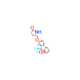 O=C1CC[C@H](COc2ccc3c(c2)C(O)(C(F)(F)F)c2ccccc2-3)N1